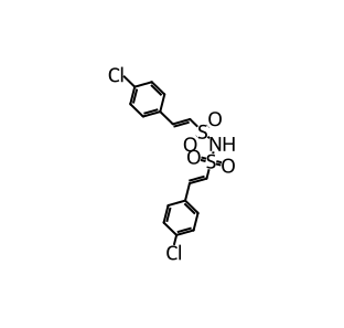 O=S(=O)(C=Cc1ccc(Cl)cc1)NS(=O)(=O)C=Cc1ccc(Cl)cc1